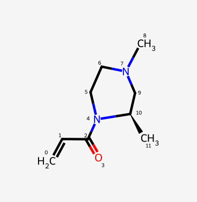 C=CC(=O)N1CCN(C)C[C@H]1C